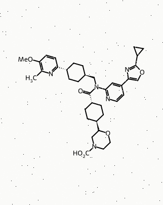 COc1ccc([C@H]2CC[C@H](CN(c3cc(-c4coc(C5CC5)n4)ccn3)C(=O)[C@H]3CC[C@H](C4CN(C(=O)O)CCO4)CC3)CC2)nc1C